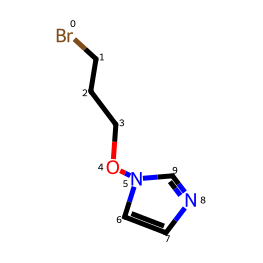 BrCCCOn1ccnc1